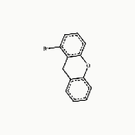 Brc1cccc2c1Cc1ccccc1O2